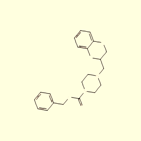 O=C(OCc1ccccc1)N1CCN(CC2COc3ccccc3O2)CC1